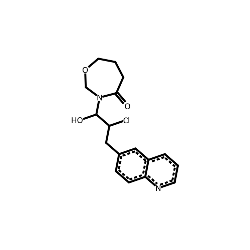 O=C1CCCOCN1C(O)C(Cl)Cc1ccc2ncccc2c1